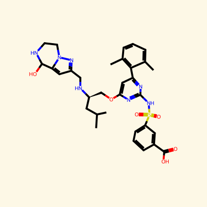 Cc1cccc(C)c1-c1cc(OC[C@@H](CC(C)C)NCc2cc3n(n2)CCNC3O)nc(NS(=O)(=O)c2cccc(C(=O)O)c2)n1